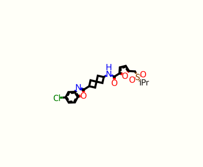 CC(C)S(=O)(=O)Cc1ccc(C(=O)NC2CC3(C2)CC(c2nc4cc(Cl)ccc4o2)C3)o1